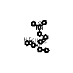 CC1(C)c2ccccc2-c2ccc(N(c3cccc(-c4ccccc4)c3)c3ccc4c(c3)sc3cccc(-c5cccc(-c6nc(-c7ccccc7)c7oc8ccccc8c7n6)c5)c34)cc21